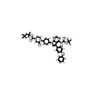 CC(C)(C)CC(C)(C)OC(=O)N1CCN(C2CCC(n3cc(-c4ccc(Oc5ccccc5)cc4)c4c(NC(=O)OC(C)(C)C)ncnc43)CC2)C(=O)C1